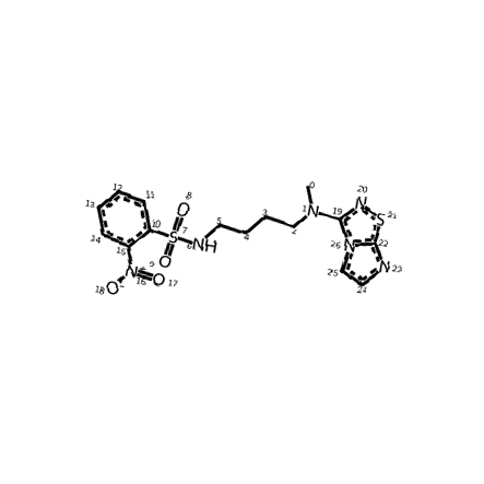 CN(CCCCNS(=O)(=O)c1ccccc1[N+](=O)[O-])c1nsc2nccn12